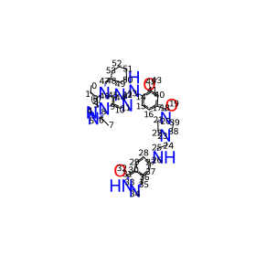 CC[C@@H]1c2nnc(C)n2-c2cnc(Nc3ccc(C(=O)N4CCN(CCNc5ccc6c(=O)[nH]ncc6c5)CC4)cc3OC)nc2N1CC1CCCCC1